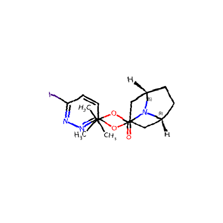 CC(C)(C)OC(=O)N1[C@@H]2CC[C@H]1CC(Oc1ccc(I)nn1)C2